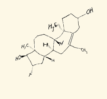 CC1=C2CC(O)CC[C@]2(C)[C@H]2CC[C@]3(C)[C@H](O)[C@@H](F)C[C@H]3[C@@H]2C1